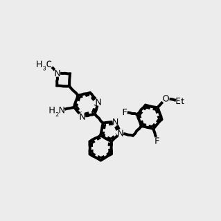 CCOc1cc(F)c(Cn2nc(-c3ncc(C4CN(C)C4)c(N)n3)c3ccccc32)c(F)c1